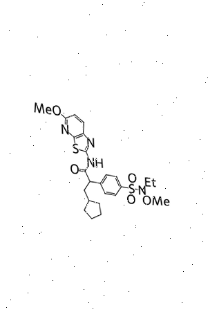 CCN(OC)S(=O)(=O)c1ccc(C(CC2CCCC2)C(=O)Nc2nc3ccc(OC)nc3s2)cc1